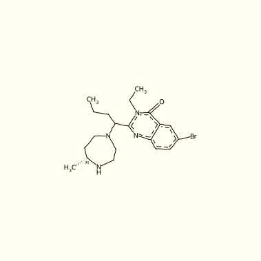 CCCC(c1nc2ccc(Br)cc2c(=O)n1CC)N1CCN[C@H](C)CC1